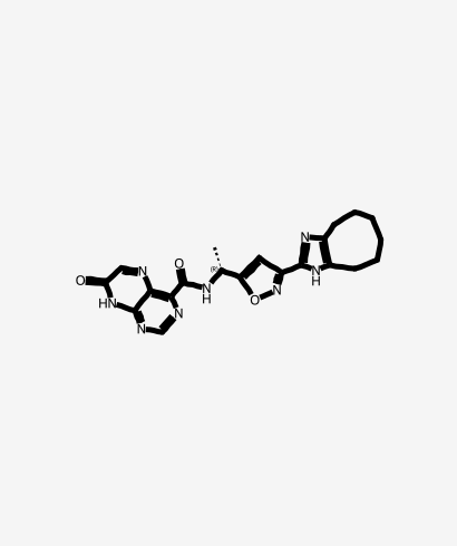 C[C@@H](NC(=O)c1ncnc2[nH]c(=O)cnc12)c1cc(-c2nc3c([nH]2)CCCCCC3)no1